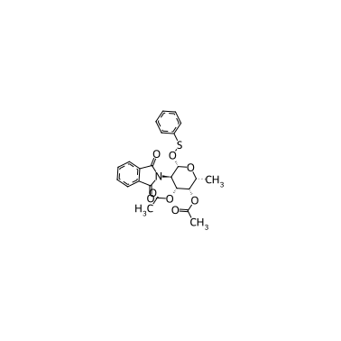 CC(=O)O[C@@H]1[C@H](OC(C)=O)[C@@H](N2C(=O)c3ccccc3C2=O)[C@H](OSc2ccccc2)O[C@@H]1C